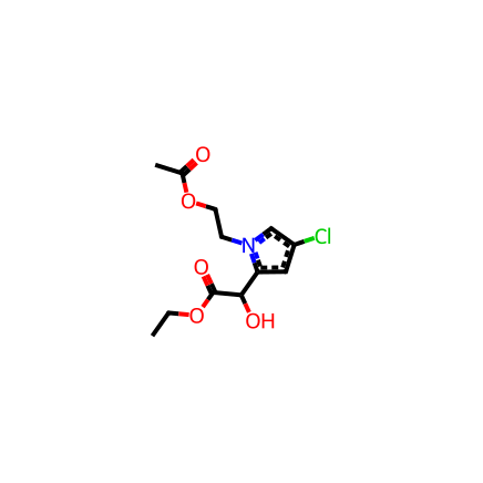 CCOC(=O)C(O)c1cc(Cl)cn1CCOC(C)=O